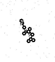 c1ccc2c(c1)cc(-c1cccc3c1sc1c3c3ccccc3c3c1c1ccccc1n3-c1ccc(-c3cn4ccccc4n3)cc1)c1ccccc12